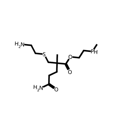 CPCCOC(=O)C(C)(CCC(N)=O)CSCCN